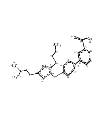 CCCCc1nc(CCC(C)C)nn1Cc1ccc(-c2cccc(C(=O)O)c2)cc1